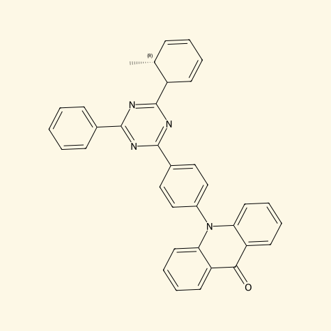 C[C@@H]1C=CC=CC1c1nc(-c2ccccc2)nc(-c2ccc(-n3c4ccccc4c(=O)c4ccccc43)cc2)n1